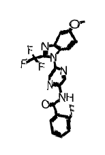 COc1ccc2c(c1)nc(C(F)(F)F)n2-c1cnc(NC(=O)c2ccccc2F)cn1